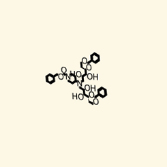 O=C(OCc1ccccc1)N1CCC(N(C[C@H](O)[C@@H](O)[C@H]2CCOC(c3ccccc3)O2)C[C@H](O)[C@@H](O)[C@H]2CCOC(c3ccccc3)O2)CC1